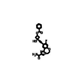 NC(=O)c1cn2c(n1)-c1cc(C#CC3(O)CC(OC(=O)c4ccccc4)C3)c(F)cc1OCC2